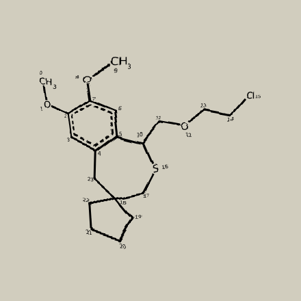 COc1cc2c(cc1OC)C(COCCCl)SCC1(CCCC1)C2